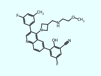 COCCNCC1CN(c2c(-c3cc(C)cc(F)c3)cnc3ccc(-c4cc(F)cc(C#N)c4O)cc23)C1